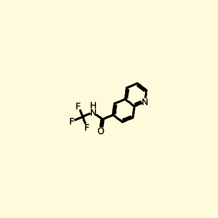 O=C(NC(F)(F)F)c1ccc2ncccc2c1